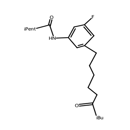 CCCC(C)C(=O)Nc1cc(F)cc(CCCCCC(=O)C(C)CC)c1